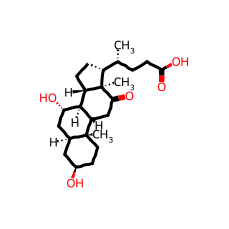 C[C@H](CCC(=O)O)[C@H]1CC[C@H]2[C@@H]3[C@@H](O)C[C@@H]4C[C@H](O)CC[C@]4(C)[C@H]3CC(=O)[C@]12C